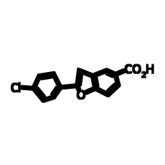 O=C(O)c1ccc2oc(-c3ccc(Cl)cc3)cc2c1